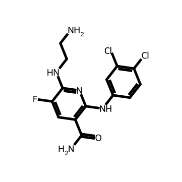 NCCNc1nc(Nc2ccc(Cl)c(Cl)c2)c(C(N)=O)cc1F